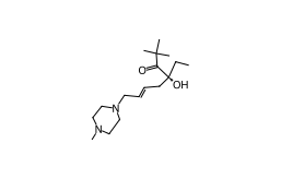 CC[C@](O)(C/C=C/CN1CCN(C)CC1)C(=O)C(C)(C)C